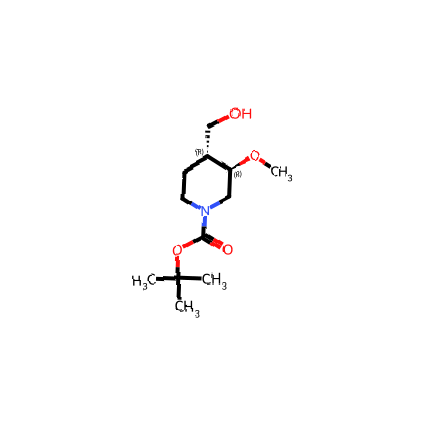 CO[C@H]1CN(C(=O)OC(C)(C)C)CC[C@@H]1CO